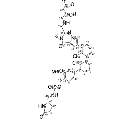 COc1nc(-c2cccc(-c3cccc(-c4cc5c(=O)n(C)c(CNCC(O)CC(=O)N(C)C)nn5c4)c3Cl)c2Cl)ccc1COC(=O)NC[C@@H]1CCC(=O)N1